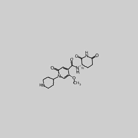 COc1cn(C2CCNCC2)c(=O)cc1C(=O)N[C@H]1CCC(=O)NC1=O